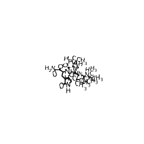 CC(C)(C)NC(=O)NC(C(=O)N1C[C@H]2[C@@H]([C@H]1C(=O)NC(CC1CCNC1=O)C(=O)C(N)=O)C2(C)C)C(C)(C)C